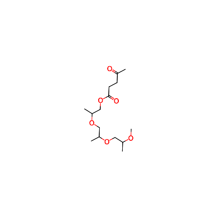 COC(C)COC(C)COC(C)COC(=O)CCC(C)=O